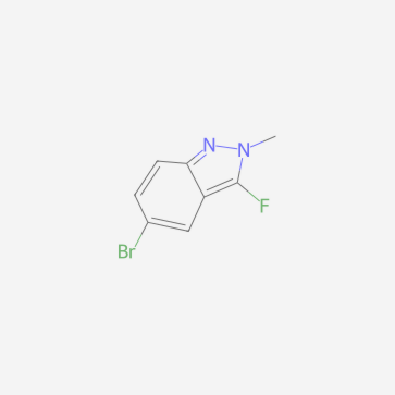 Cn1nc2ccc(Br)cc2c1F